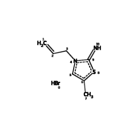 Br.C=CCn1cc(C)sc1=N